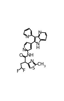 Cc1nc(C(CC(F)F)C(=O)Nc2cc(-c3[nH]c4cccnc4c3-c3ccccn3)ccn2)cs1